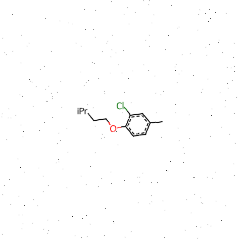 Cc1ccc(OCCC(C)C)c(Cl)c1